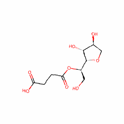 O=C(O)CCC(=O)O[C@H](CO)[C@H]1OC[C@H](O)[C@H]1O